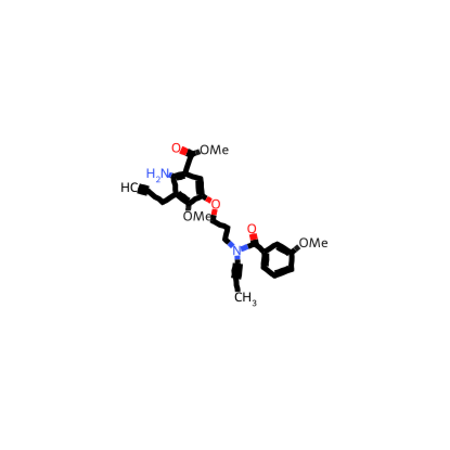 C#CCc1c(N)c(C(=O)OC)cc(OCCCN(C#CC)C(=O)c2cccc(OC)c2)c1OC